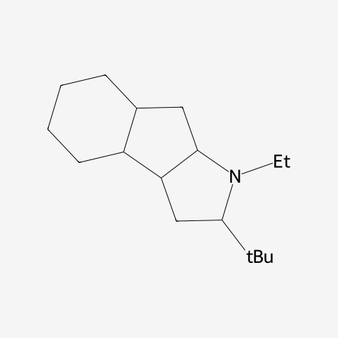 CCN1C2CC3CCCCC3C2CC1C(C)(C)C